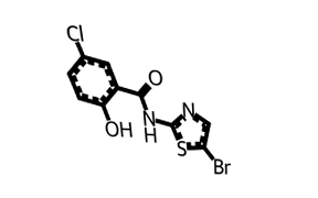 O=C(Nc1ncc(Br)s1)c1cc(Cl)ccc1O